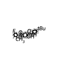 Cc1ccc(F)cc1S(=O)(=O)N1CCC(O)(C(=O)Nc2ccc(C(C)(C)C)cc2)CC1